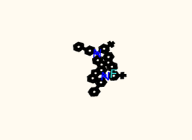 CC(C)(C)c1c#cc(N(c2ccc(-c3ccccc3)cc2)c2ccc3c(c2)C2(c4ccccc4-c4ccc(F)cc42)c2cc(N(c4ccc(-c5ccccc5)cc4)c4ccc(C(C)(C)C)cc4)c4c(c2-3)Cc2ccccc2-4)cc1